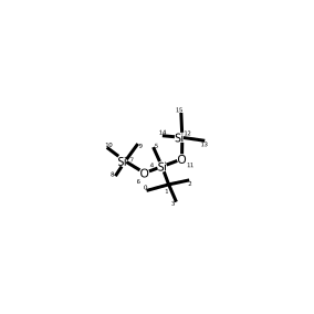 CC(C)(C)[Si](C)(O[Si](C)(C)C)O[Si](C)(C)C